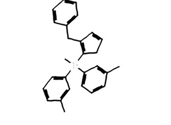 Cc1ccc[c]([Ti]([CH3])([C]2=C(Cc3ccccc3)C=CC2)[c]2cccc(C)c2)c1